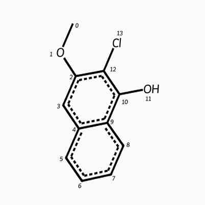 COc1cc2ccccc2c(O)c1Cl